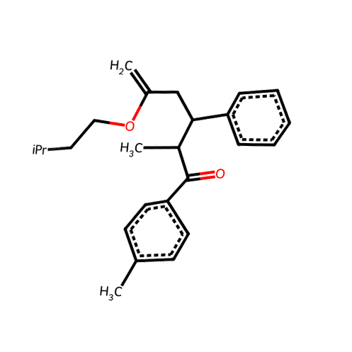 C=C(CC(c1ccccc1)C(C)C(=O)c1ccc(C)cc1)OCCC(C)C